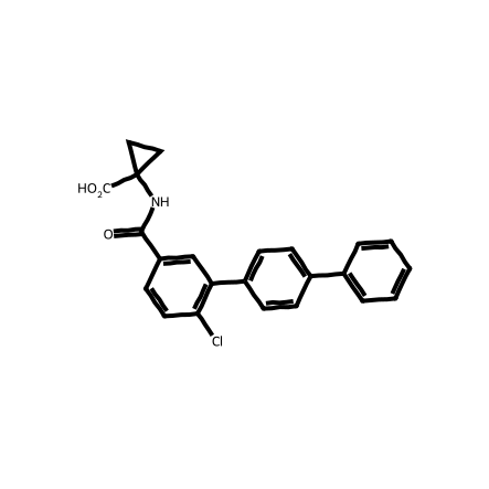 O=C(NC1(C(=O)O)CC1)c1ccc(Cl)c(-c2ccc(-c3ccccc3)cc2)c1